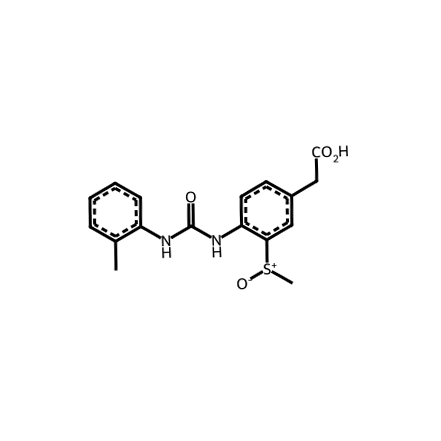 Cc1ccccc1NC(=O)Nc1ccc(CC(=O)O)cc1[S+](C)[O-]